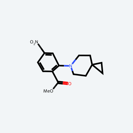 COC(=O)c1ccc([N+](=O)[O-])cc1N1CCC2(CC1)CC2